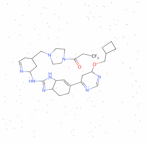 O=C(CC(F)(F)F)N1CCN(CC2CC=NC(NC3=NC4CCC(C5=NC=NC(OCC6CCC6)C5)=CC4N3)C2)CC1